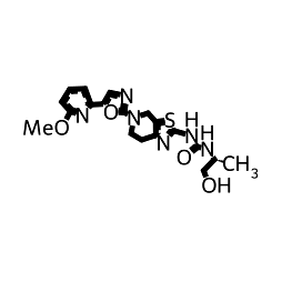 COc1cccc(-c2cnc(N3CCc4nc(NC(=O)N[C@H](C)CO)sc4C3)o2)n1